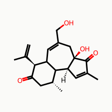 C=C(C)[C@@H]1C(=O)C[C@@H](C)C2C1C=C(CO)C[C@]1(O)C(=O)C(C)=C[C@@H]21